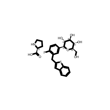 O=C(O)[C@@H]1CCCN1.OC[C@H]1O[C@@H](c2ccc(F)c(Cc3cc4ccccc4s3)c2)[C@H](O)[C@@H](O)[C@@H]1O